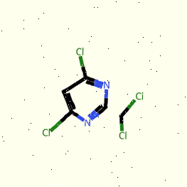 ClCCl.Clc1cc(Cl)ncn1